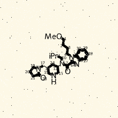 COCCCCn1c(C(=O)N(CC(C)C)[C@@H]2CNC[C@H](CN3CCCC3=O)C2)nc2ccccc21